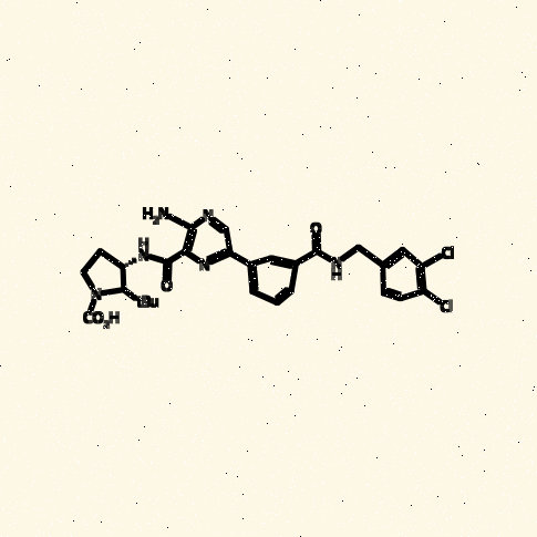 CC(C)(C)C1[C@@H](NC(=O)c2nc(-c3cccc(C(=O)NCc4ccc(Cl)c(Cl)c4)c3)cnc2N)CCN1C(=O)O